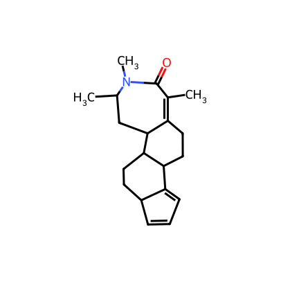 CC1=C2CCC3C4=CC=CC4CCC3C2CC(C)N(C)C1=O